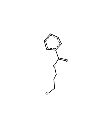 S=C(OCCCCl)c1ccccc1